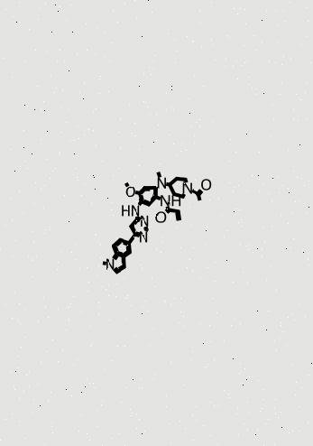 C=CC(=O)Nc1cc(Nc2cc(-c3ccc4c(ccn4C)c3)ncn2)c(OC)cc1N(C)C1CCN(C(C)=O)CC1